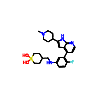 CN1CCC(c2cc3c(-c4cc(NCC5CCS(O)(O)CC5)ccc4F)ccnc3[nH]2)CC1